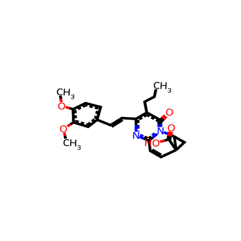 CCCc1c(/C=C/c2ccc(OC)c(OC)c2)nc2n(c1=O)C1CC1(C(=O)O)C=C2